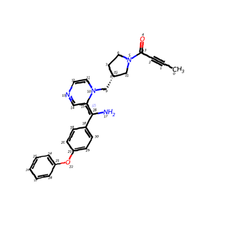 CC#CC(=O)N1CC[C@@H](CN2C=CN=C/C2=C(/N)c2ccc(Oc3ccccc3)cc2)C1